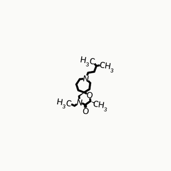 CCN1C[C@]2(CCCN(CCC(C)C)CC2)O[C@H](C)C1=O